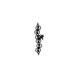 CCC1CCC(C(=O)OC2CCC(OC(=O)C3CCC(C(=O)Oc4ccc(OC(=O)C5CCC(C(=O)O[C@H]6CC[C@H](OC(=O)C7CCC(CC)CC7)CC6)CC5)cc4-c4nc5ccccc5o4)CC3)CC2)CC1